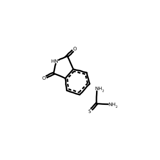 NC(N)=S.O=C1NC(=O)c2ccccc21